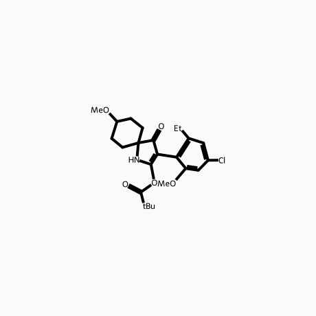 CCc1cc(Cl)cc(OC)c1C1=C(OC(=O)C(C)(C)C)NC2(CCC(OC)CC2)C1=O